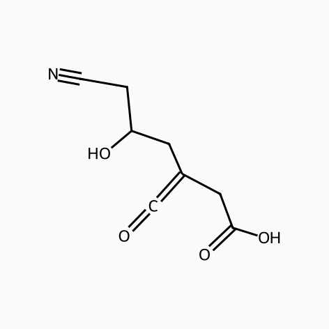 N#CCC(O)CC(=C=O)CC(=O)O